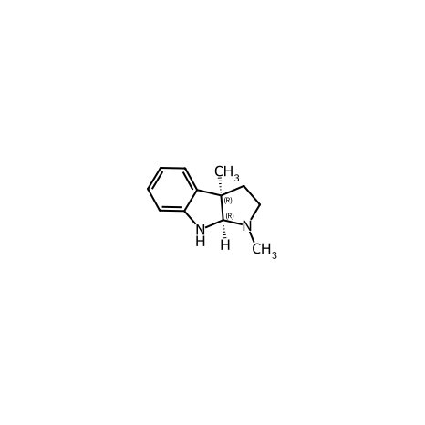 CN1CC[C@]2(C)c3ccccc3N[C@H]12